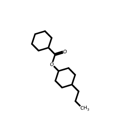 CCCC1CCC(OC(=O)C2CCCCC2)CC1